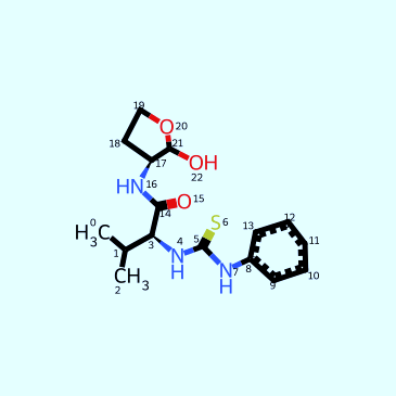 CC(C)[C@H](NC(=S)Nc1ccccc1)C(=O)N[C@H]1CCOC1O